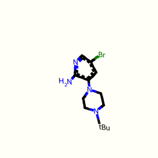 CC(C)(C)N1CCN(c2cc(Br)cnc2N)CC1